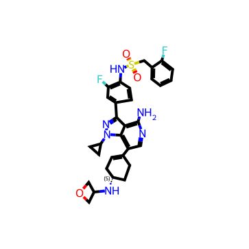 Nc1ncc(C2=CC[C@@H](NC3COC3)CC2)c2c1c(-c1ccc(NS(=O)(=O)Cc3ccccc3F)c(F)c1)nn2C1CC1